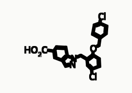 O=C(O)c1ccc2c(cnn2Cc2cc(Cl)ccc2OCc2ccc(Cl)cc2)c1